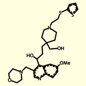 COc1ccc2ncc(CN3CCOCC3)c(C(O)CCC3(CO)CCN(CCSc4cccs4)CC3)c2c1